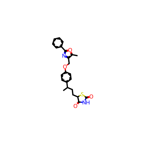 Cc1oc(-c2ccccc2)nc1COc1ccc(C(C)CCC2SC(=O)NC2=O)cc1